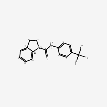 O=C(Nc1ccc(C(F)(F)F)cc1)N1CCc2ccccc21